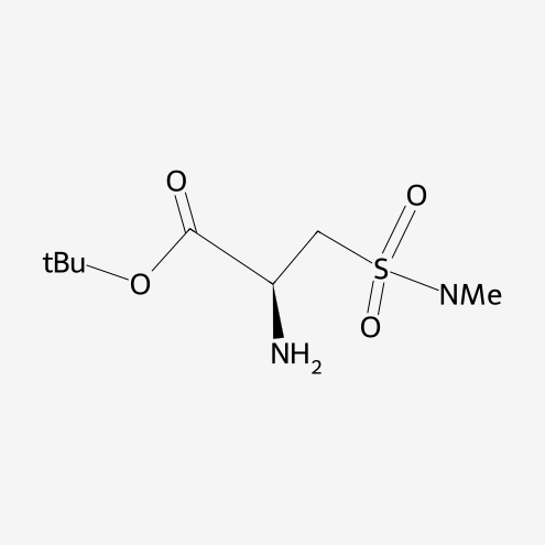 CNS(=O)(=O)C[C@@H](N)C(=O)OC(C)(C)C